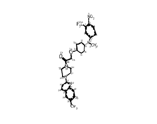 CN(c1ccc([N+](=O)[O-])c(C(F)(F)F)c1)[C@H]1CC[C@H](OCC(=O)N2CCN(c3ccc4cc(C(F)(F)F)ccc4n3)CC2)CC1